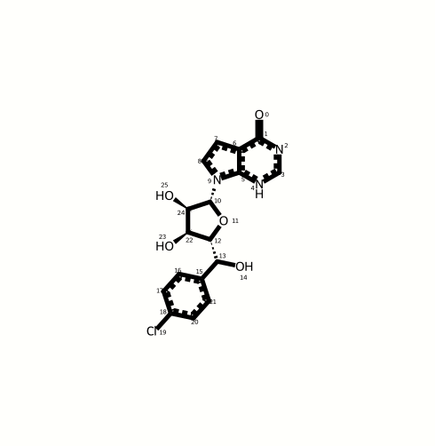 O=c1nc[nH]c2c1ccn2[C@@H]1O[C@H](C(O)c2ccc(Cl)cc2)[C@@H](O)[C@H]1O